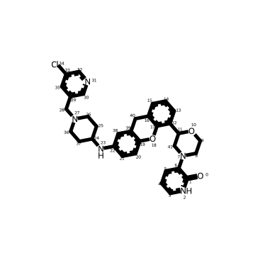 O=c1[nH]cccc1N1CCOC(c2cccc3c2Oc2ccc(NC4CCN(Cc5cncc(Cl)c5)CC4)cc2C3)C1